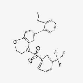 CCc1ccccc1-c1ccc2c(c1)N(S(=O)(=O)c1cccc(C(F)(F)F)c1)CCO2